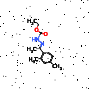 CCOC(=O)N/N=C(\C)c1ccc(C)cc1C